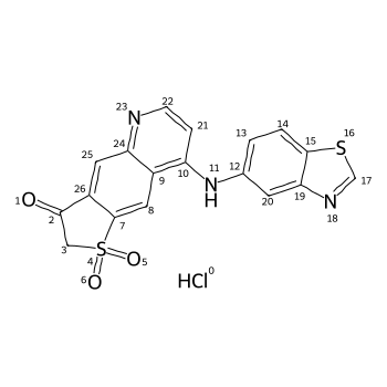 Cl.O=C1CS(=O)(=O)c2cc3c(Nc4ccc5scnc5c4)ccnc3cc21